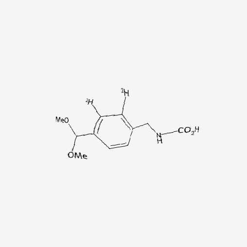 [2H]c1c(CNC(=O)O)ccc(C(OC)OC)c1[2H]